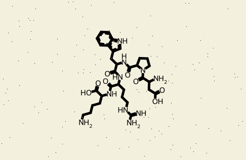 N=C(N)NCCCC(NC(=O)C(Cc1c[nH]c2ccccc12)NC(=O)C1CCCN1C(=O)C(N)CC(=O)O)C(=O)NC(CCCCN)C(=O)O